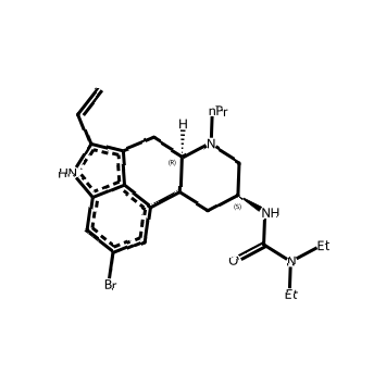 C=Cc1[nH]c2cc(Br)cc3c2c1C[C@@H]1C3C[C@H](NC(=O)N(CC)CC)CN1CCC